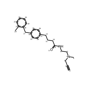 C#CCN(C)CCNC(=O)CCCc1ccc(Cc2ccccc2C)cc1